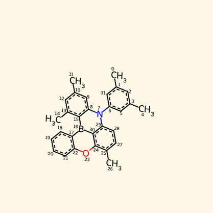 Cc1cc(C)cc(N2c3cc(C)cc(C)c3B3c4ccccc4Oc4c(C)ccc2c43)c1